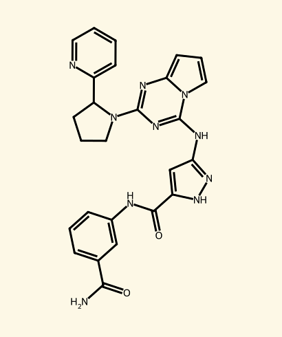 NC(=O)c1cccc(NC(=O)c2cc(Nc3nc(N4CCCC4c4ccccn4)nc4cccn34)n[nH]2)c1